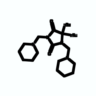 CCCCC1(CCCC)C(=O)N(CN2CCCCC2)C(=O)N1CN1CCCCC1